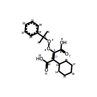 CC(C)(OO/C(C(=O)O)=C(\C(=O)O)C1CCCCC1)c1ccccc1